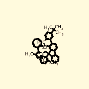 CC1=C(c2c(C)cc(C)n2CC2(c3ccccc3C)c3ccccc3-c3ccc(-c4cc(C(C)(C)C)ccc4C)c(C)c32)C=CCC=C1